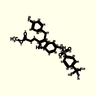 COC(=O)CCc1[nH]c2ccc(NS(=O)(=O)c3ccc(C(F)(F)F)cc3)cc2c1Cc1ccc(F)cc1